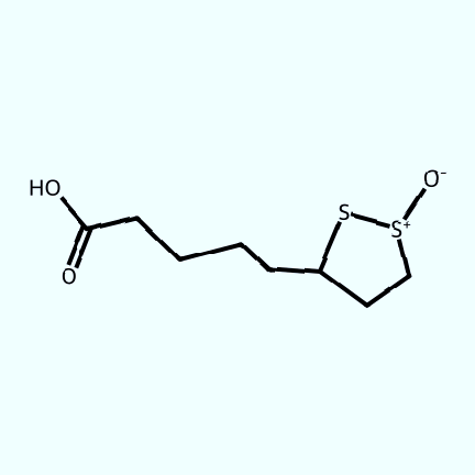 O=C(O)CCCCC1CC[S+]([O-])S1